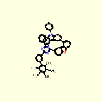 Bc1c(B)c(B)c(-c2cccc(-c3nc(-c4ccccc4)nc(-c4ccc5oc6cccc(-c7ccc8c(c7)c7ccccc7n8-c7ccccc7)c6c5c4)n3)c2)c(B)c1B